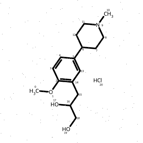 COc1ccc(C2CCN(C)CC2)cc1CC(O)CO.Cl